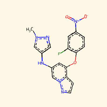 Cn1cc(Nc2cc(Oc3ccc([N+](=O)[O-])cc3F)c3ccnn3c2)cn1